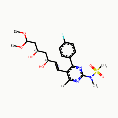 CCOC(C[C@H](O)C[C@H](O)/C=C/c1c(-c2ccc(F)cc2)nc(N(C)S(C)(=O)=O)nc1C(C)C)OCC